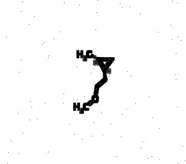 COCC[C@@H]1C[C@H]1C